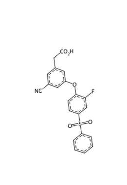 N#Cc1cc(CC(=O)O)cc(Oc2ccc(S(=O)(=O)c3ccccc3)cc2F)c1